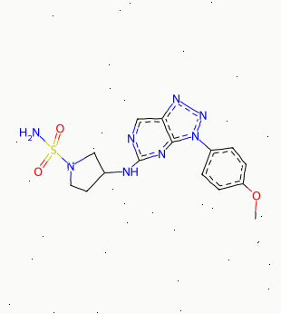 COc1ccc(-n2nnc3cnc(NC4CCN(S(N)(=O)=O)C4)nc32)cc1